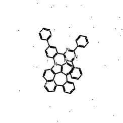 c1ccc(-c2ccc(-n3c4cccc5c4c4c6c(cccc6ccc43)-c3ccccc3-5)c(-c3nc(-c4ccccc4)nc(-c4ccccc4)n3)c2)cc1